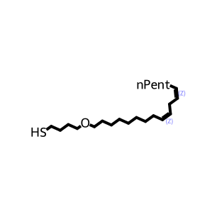 CCCCC/C=C\C/C=C\CCCCCCCCOCCCCS